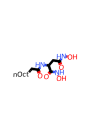 CCCCCCCCCC(=O)NC(CC(=O)NO)C(=O)NO